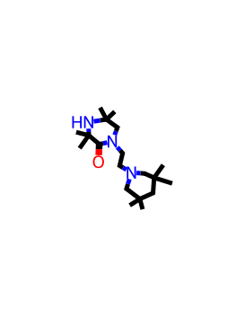 CC1(C)CN(CCN2CC(C)(C)NC(C)(C)C2=O)CC(C)(C)C1